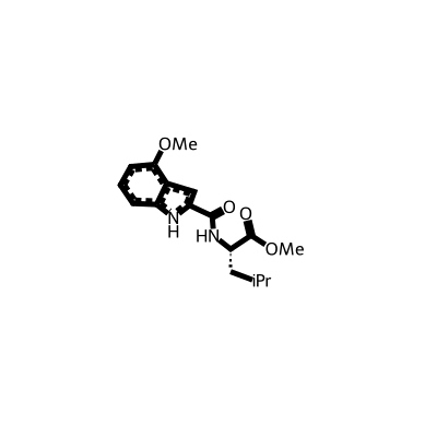 COC(=O)[C@H](CC(C)C)NC(=O)c1cc2c(OC)cccc2[nH]1